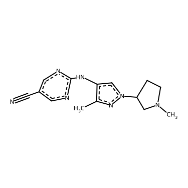 Cc1nn(C2CCN(C)C2)cc1Nc1ncc(C#N)cn1